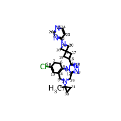 CC1(N2CC3=C(CCC(Cl)=C3)n3c(nnc3C3CC4(C3)CN(c3ccncn3)C4)C2)CC1